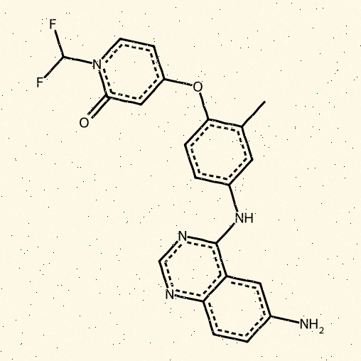 Cc1cc(Nc2ncnc3ccc(N)cc23)ccc1Oc1ccn(C(F)F)c(=O)c1